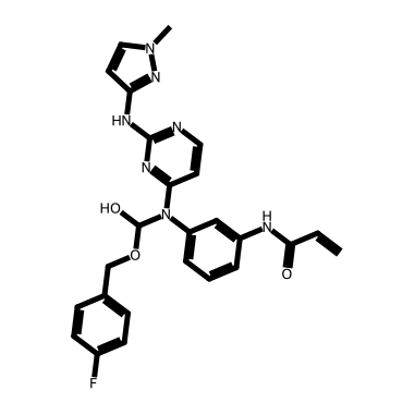 C=CC(=O)Nc1cccc(N(c2ccnc(Nc3ccn(C)n3)n2)C(O)OCc2ccc(F)cc2)c1